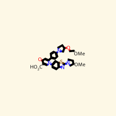 COCCOC1CCN(c2ccc(-c3cc(=O)c(C(=O)O)cn3-c3ccc4nc(N5CCC(OC)C5)sc4c3)cc2)C1